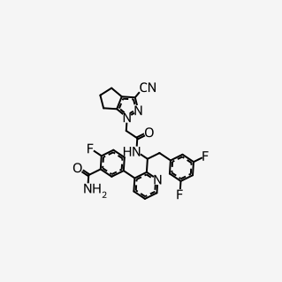 N#Cc1nn(CC(=O)NC(Cc2cc(F)cc(F)c2)c2ncccc2-c2ccc(F)c(C(N)=O)c2)c2c1CCC2